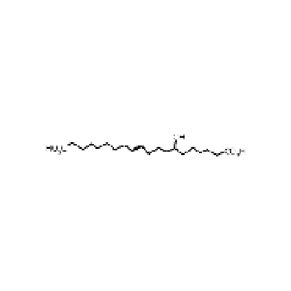 O=C(O)CCCCCCCC=CCCCC(O)CCCCCC(=O)O